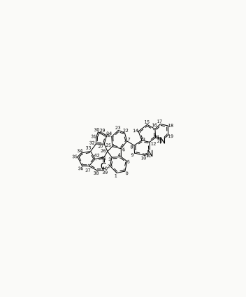 c1ccc2c(c1)-c1c(-c3ccnc4c3ccc3cccnc34)cccc1C21c2ccccc2-c2cccc3cccc1c23